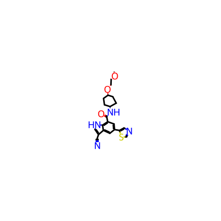 COCCO[C@H]1CC[C@H](NC(=O)c2cc(-c3cncs3)cc3c(C#N)c[nH]c23)CC1